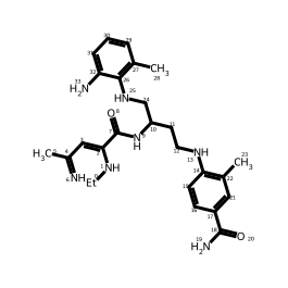 CCN/C(=C\C(C)=N)C(=O)NC(CCNc1ccc(C(N)=O)cc1C)CNc1c(C)cccc1N